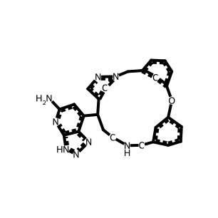 Nc1cc(C2CCNCc3cccc(c3)Oc3cccc(c3)Cn3cc2cn3)c2nn[nH]c2n1